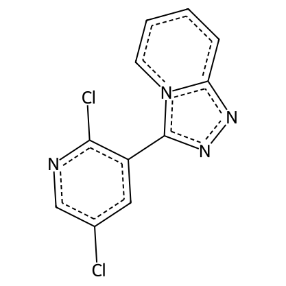 Clc1cnc(Cl)c(-c2nnc3ccccn23)c1